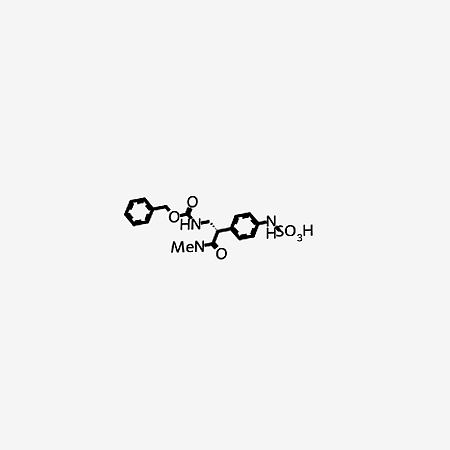 CNC(=O)[C@H](CNC(=O)OCc1ccccc1)c1ccc(NS(=O)(=O)O)cc1